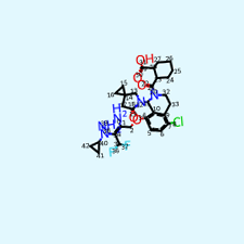 N/C(COc1ccc(Cl)c2c1C(N1CC3(CC3)CC1=O)N(C(=O)C1CCCCC1C(=O)O)CC2)=C(/C(F)F)N(N)C1CC1